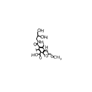 COCC(=O)Nc1c(I)c(C(=O)O)c(I)c(C(=O)NCC(O)CO)c1I